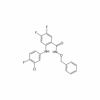 O=C(NOCc1ccccc1)c1cc(F)c(F)cc1Nc1ccc(F)c(Cl)c1